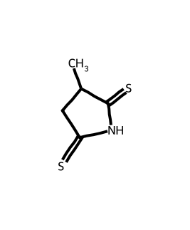 CC1CC(=S)NC1=S